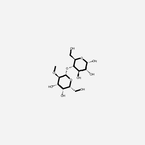 CO[C@H]1[C@H](O[C@H]2[C@H](O)[C@@H](O)[C@@H](O)O[C@@H]2CO)O[C@H](CO)[C@H](O)[C@@H]1O